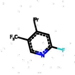 CC(C)c1cc(F)ncc1C(F)(F)F